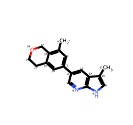 [CH2]c1cc(-c2cnc3[nH]cc(C)c3c2)cc2c1COCC2